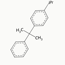 CC(C)c1ccc(C(C)(C)c2ccccc2)cc1